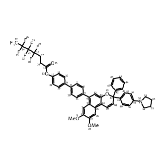 COc1cc2c(-c3ccc(-c4ccc(OC(=O)CCC(F)(F)C(F)(F)C(F)(F)C(F)(F)F)cc4)cc3)cc3c(c2cc1OC)C=CC(c1ccccc1)(c1ccc(N2CCCC2)cc1)O3